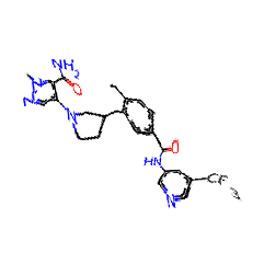 Cc1ccc(C(=O)Nc2cncc(C(F)(F)F)c2)cc1C1CCN(c2cnn(C)c2C(N)=O)C1